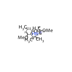 COC1=CC(C)CC(C)=C1C(C)C(C)N/C=C(\C)OC